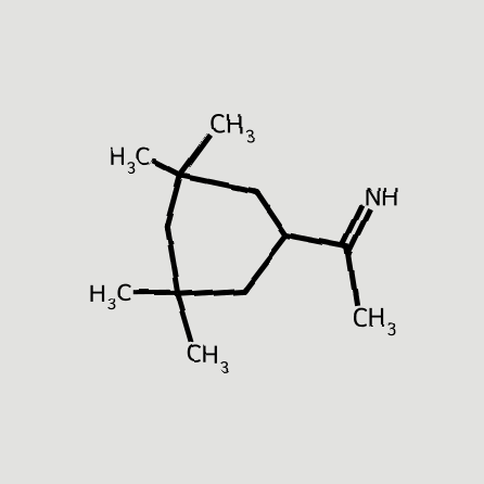 CC(=N)C1CC(C)(C)CC(C)(C)C1